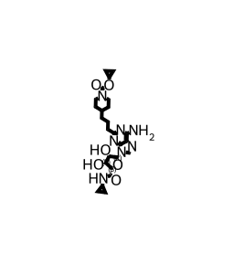 Nc1nc(CCCC2CCN(C(=O)OC3CC3)CC2)nc2c1ncn2[C@@H]1O[C@H](C(=O)NC2CC2)[C@H](O)C1O